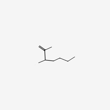 CC(CCC[S])C(=O)O